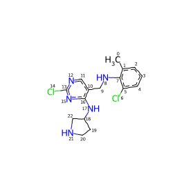 Cc1cccc(Cl)c1NCc1cnc(Cl)nc1NC1CCNC1